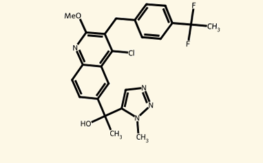 COc1nc2ccc(C(C)(O)c3cnnn3C)cc2c(Cl)c1Cc1ccc(C(C)(F)F)cc1